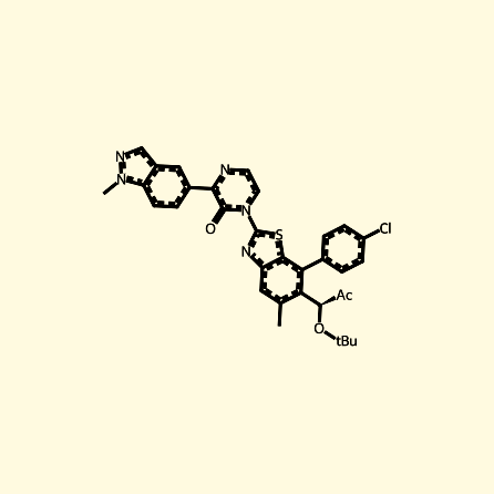 CC(=O)[C@@H](OC(C)(C)C)c1c(C)cc2nc(-n3ccnc(-c4ccc5c(cnn5C)c4)c3=O)sc2c1-c1ccc(Cl)cc1